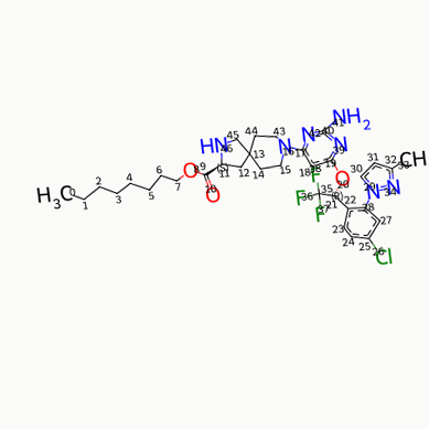 CCCCCCCCOC(=O)[C@@H]1CC2(CCN(c3cc(O[C@H](c4ccc(Cl)cc4-n4ccc(C)n4)C(F)(F)F)nc(N)n3)CC2)CN1